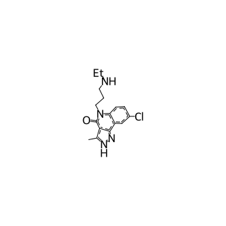 CCNCCCn1c(=O)c2c(C)[nH]nc2c2cc(Cl)ccc21